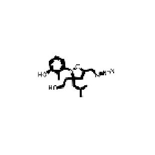 Cc1c(O)cccc1N1OC(CN=[N+]=[N-])CC1(CCO)CC(C)C